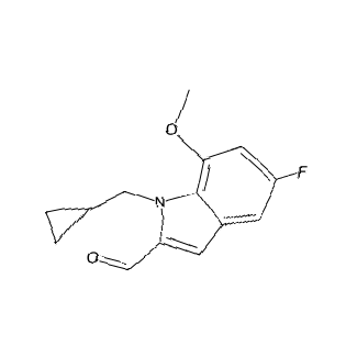 COc1cc(F)cc2cc(C=O)n(CC3CC3)c12